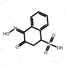 O=C1CC(S(=O)(=O)O)c2ccccc2/C1=N/O